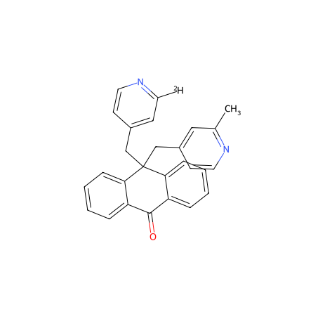 [2H]c1cc(CC2(Cc3ccnc(C)c3)c3ccccc3C(=O)c3ccccc32)ccn1